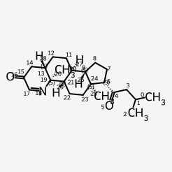 CC(C)CC(=O)[C@H]1CC[C@H]2[C@@H]3CC[C@H]4CC(=O)C=N[C@]4(C)[C@H]3CC[C@]12C